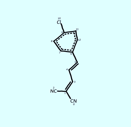 N#CC(C#N)=CC=Cc1ccc(Cl)cc1